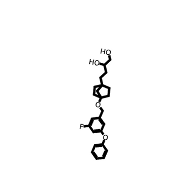 OCC(O)CCC12CCC(OCc3cc(F)cc(Oc4ccccc4)c3)(CC1)C2